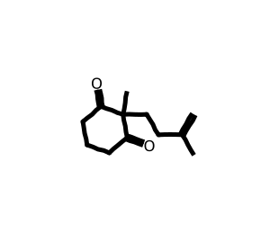 C=C(C)CCC1(C)C(=O)CCCC1=O